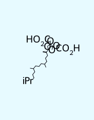 C=C(CCCC(C)CCCC(C)CCCC(C)C)C1OC(OC(=O)O)C(OC(=O)O)O1